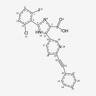 O=C(O)c1nc(-c2c(F)cccc2Cl)[nH]c1-c1ccc(C#Cc2ccccc2)nc1